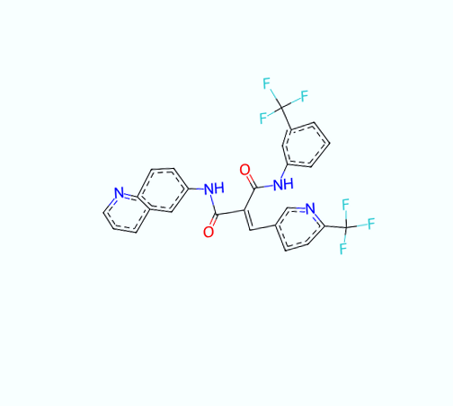 O=C(Nc1cccc(C(F)(F)F)c1)C(=Cc1ccc(C(F)(F)F)nc1)C(=O)Nc1ccc2ncccc2c1